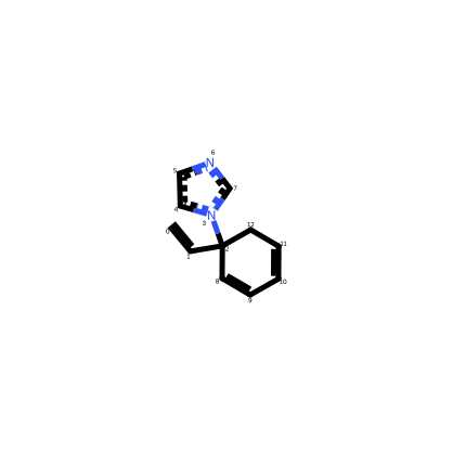 C=CC1(n2ccnc2)C=CC=CC1